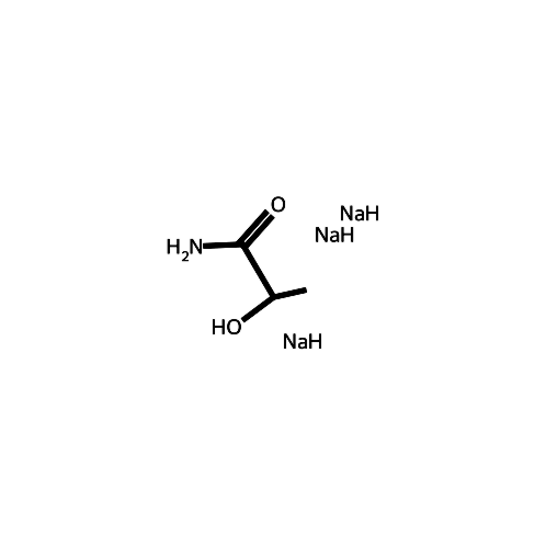 CC(O)C(N)=O.[NaH].[NaH].[NaH]